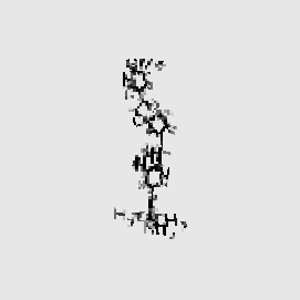 COc1ccc(C2COc3cc(Cn4cnc5cc(C#CC(C)(C)N)cnc54)ccc3O2)cn1